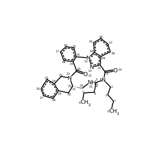 CCCCN(CCCC)C(=O)c1nn(-c2ccccc2C(=O)N2Cc3ccccc3C[C@H]2CN)c2ccccc12